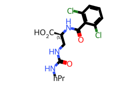 CCCNC(=O)NC[C@H](NC(=O)c1c(Cl)cccc1Cl)C(=O)O